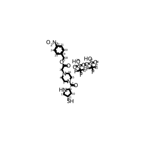 O=C(CN1CCN(C(=O)[C@@H]2C[C@H](S)CN2)CC1)OCc1ccc([N+](=O)[O-])cc1.O=S(=O)(O)C(F)(F)F.O=S(=O)(O)C(F)(F)F